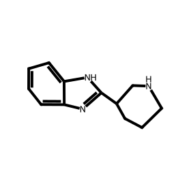 c1ccc2[nH]c(C3CCCNC3)nc2c1